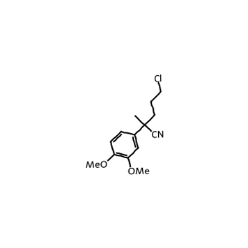 COc1ccc(C(C)(C#N)CCCCl)cc1OC